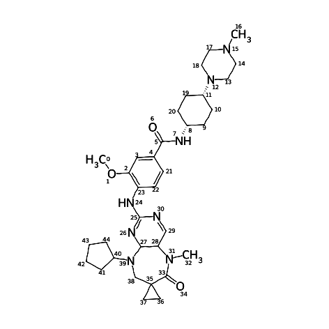 COc1cc(C(=O)N[C@H]2CC[C@@H](N3CCN(C)CC3)CC2)ccc1NC1=NC2C(C=N1)N(C)C(=O)C1(CC1)CN2C1CCCC1